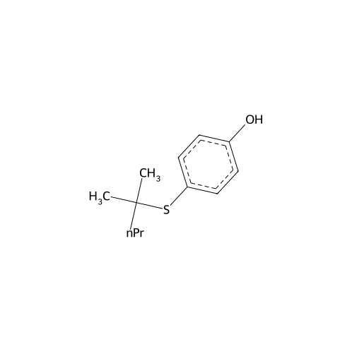 CCCC(C)(C)Sc1ccc(O)cc1